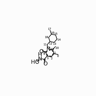 Cc1cc(C(=O)NO)c(=O)n(CC2CCCC(C)C2)c1C